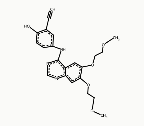 C#Cc1cc(Nc2ncnc3cc(OCCOC)c(OCCOC)cc23)ccc1O